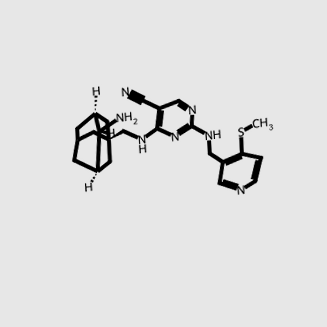 CSc1ccncc1CNc1ncc(C#N)c(NC[C@]23CC4C[C@H](C2)[C@@H](N)[C@@H](C4)C3)n1